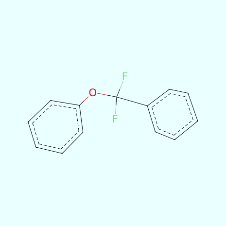 FC(F)(Oc1ccccc1)c1ccccc1